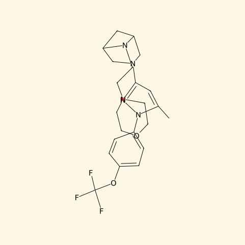 Cc1cc(N2CC3CC(C2)N3CCN2CCOCC2)nn1-c1ccc(OC(F)(F)F)cc1